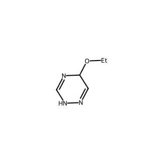 CCOC1C=NNC=N1